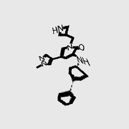 Cn1cc(-c2cc(N[C@H]3CC[C@@H](c4ccccc4)CC3)c(=O)n(CC3CNC3)c2)cn1